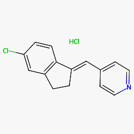 Cl.Clc1ccc2c(c1)CC/C2=C\c1ccncc1